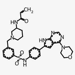 C=CC(=O)NC1CCCN(Cc2cccc(S(=O)(=O)Nc3ccc(-c4cc5c(N6CCOCC6)ncnc5[nH]4)cc3)c2)C1